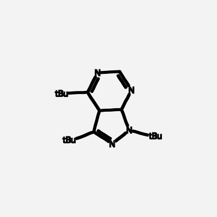 CC(C)(C)C1=NC=NC2C1C(C(C)(C)C)=NN2C(C)(C)C